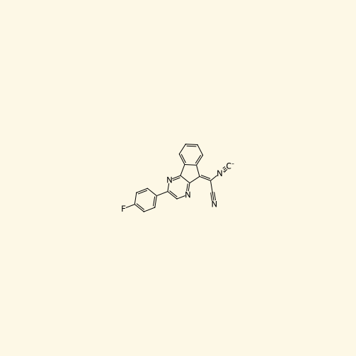 [C-]#[N+]/C(C#N)=C1\c2ccccc2-c2nc(-c3ccc(F)cc3)cnc21